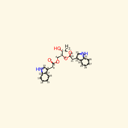 [CH2][C@@H](O)[C@H](COC(=O)Cc1c[nH]c2ccccc12)OC(=O)Cc1c[nH]c2ccccc12